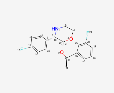 C[C@@H](O[C@H]1OCCN[C@H]1c1ccc(F)cc1)c1cccc(F)c1